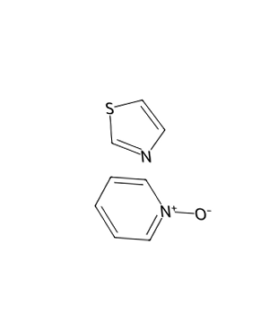 [O-][n+]1ccccc1.c1cscn1